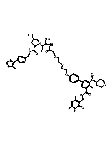 CCN(c1cc(-c2ccc(OCCOCCOCC(=O)NC(C(=O)N3C[C@H](O)C[C@H]3C(=O)NCc3ccc(-c4scnc4C)cc3)C(C)(C)C)cc2)cc(C(=O)NCc2c(C)cc(C)[nH]c2=O)c1C)C1CCOCC1